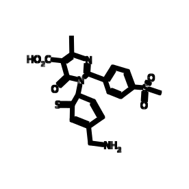 Cc1nc(-c2ccc(S(C)(=O)=O)cc2)n(C2C=CC(CN)=CC2=S)c(=O)c1C(=O)O